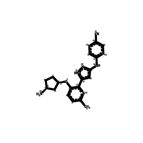 Cc1ccc(O[C@@H]2CC[C@H](N)C2)c(-c2cc(Nc3cnc(C#N)cn3)n[nH]2)n1